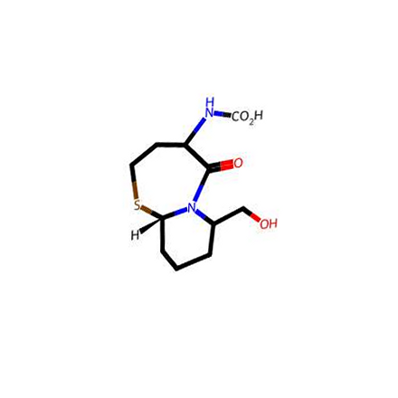 O=C(O)NC1CCS[C@H]2CCCC(CO)N2C1=O